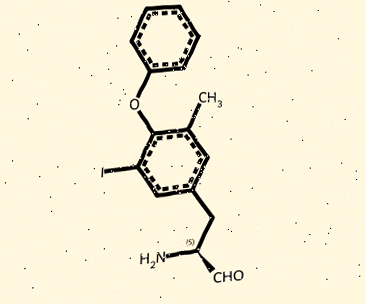 Cc1cc(C[C@H](N)C=O)cc(I)c1Oc1ccccc1